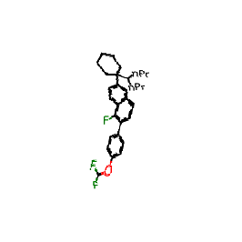 CCCC(CCC)C1(c2ccc3c(F)c(-c4ccc(OC(F)F)cc4)ccc3c2)CCCCC1